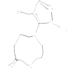 Cn1ncc([N+](=O)[O-])c1N1CCNC(=O)CC1